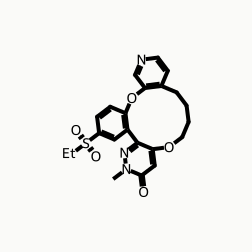 CCS(=O)(=O)c1ccc2c(c1)-c1nn(C)c(=O)cc1OCCCCc1ccncc1O2